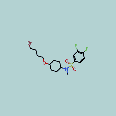 CN(C1CCC(OCCCCBr)CC1)S(=O)(=O)c1ccc(F)c(F)c1